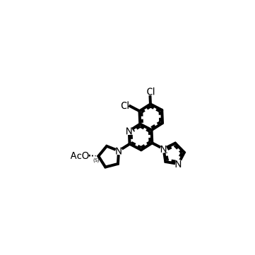 CC(=O)O[C@H]1CCN(c2cc(-n3ccnc3)c3ccc(Cl)c(Cl)c3n2)C1